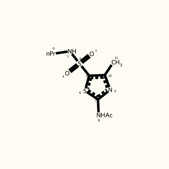 CCCNS(=O)(=O)c1sc(NC(C)=O)nc1C